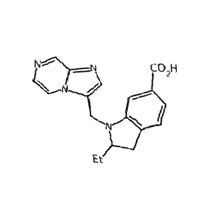 CCC1Cc2ccc(C(=O)O)cc2N1Cc1cnc2cnccn12